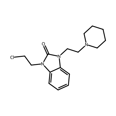 O=c1n(CCCl)c2ccccc2n1CCN1CCCCC1